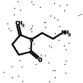 C=C1CCC(=O)N1CCN